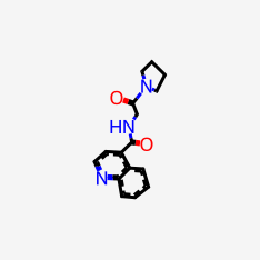 O=C(NCC(=O)N1CCCC1)c1ccnc2ccccc12